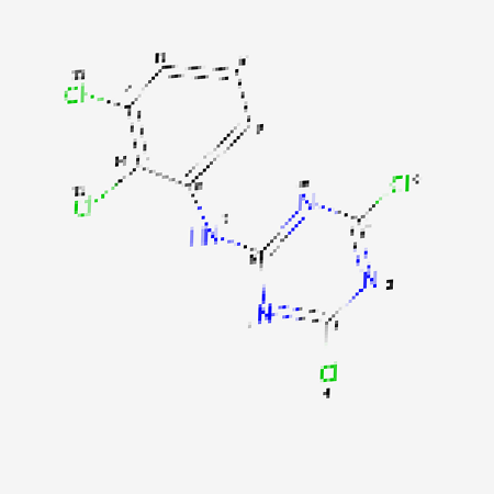 Clc1nc(Cl)nc(Nc2cccc(Cl)c2Cl)n1